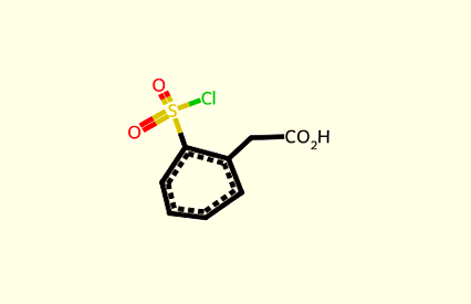 O=C(O)Cc1ccccc1S(=O)(=O)Cl